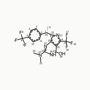 C[C@@H](c1ccc(C(F)(F)F)cc1)n1nc(C(F)(F)F)c2c1N=C(N(C)C)NC2O